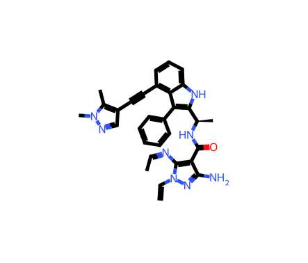 C=Cn1nc(N)c(C(=O)N[C@H](C)c2[nH]c3cccc(C#Cc4cnn(C)c4C)c3c2-c2ccccc2)c1/N=C\C